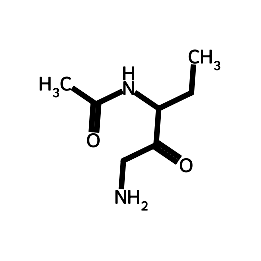 CCC(NC(C)=O)C(=O)CN